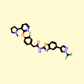 CN1CCCC1c1cccnc1Oc1ccc(CC(=O)Nc2nc3cc(-c4cnn(C(F)F)c4)ccc3s2)cc1F